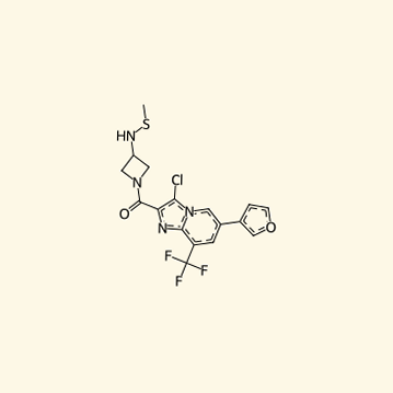 CSNC1CN(C(=O)c2nc3c(C(F)(F)F)cc(-c4ccoc4)cn3c2Cl)C1